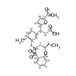 CC[C@@H]1CN(Cc2cc(C(CC(=O)O)c3ccc(C(C)=O)o3)ccc2C)S(=O)(=O)c2ccccc2O1